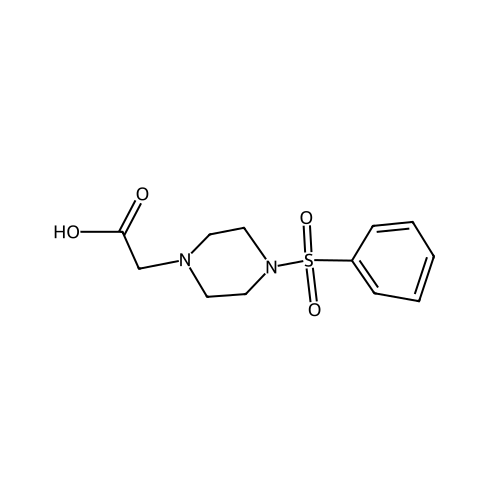 O=C(O)CN1CCN(S(=O)(=O)c2ccccc2)CC1